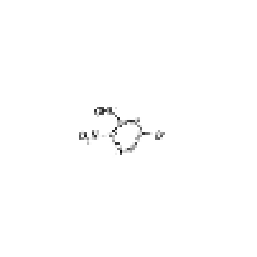 O=Cc1cc(Br)cnc1[N+](=O)[O-]